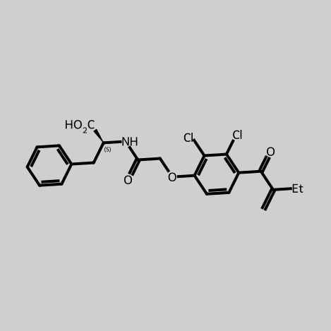 C=C(CC)C(=O)c1ccc(OCC(=O)N[C@@H](Cc2ccccc2)C(=O)O)c(Cl)c1Cl